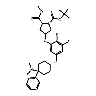 COC(=O)[C@@H]1C[C@H](Oc2cc(C[C@H]3CC[C@](c4ccccc4)(N(C)C)CC3)cc(F)c2F)CN1C(=O)OC(C)(C)C